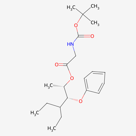 CCC(CC)[C@@H](Oc1ccccc1)[C@H](C)OC(=O)CNC(=O)OC(C)(C)C